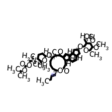 CC/C=C/[C@H]1CCC[C@H](OC2CCC([N+](C)(C)COC(=O)OC(C)C)C(C)O2)[C@@H](C)C(=O)C2=C[C@H]3[C@@H]4C[C@H](OC5OC(C)C(OC)C(OC)C5CO)C[C@H]4C=C[C@H]3C2CC(=O)O1